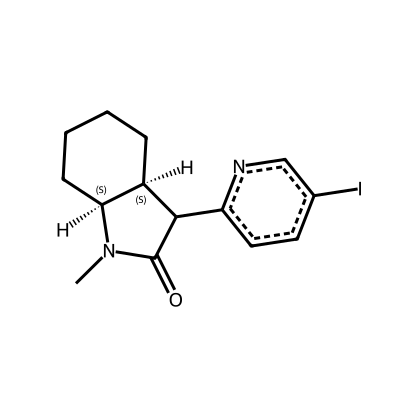 CN1C(=O)C(c2ccc(I)cn2)[C@@H]2CCCC[C@@H]21